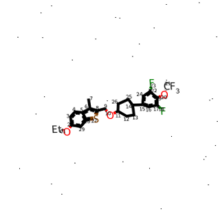 CCOc1ccc2c(C)c(COC3CCC(c4cc(F)c(OC(F)(F)F)c(F)c4)CC3)sc2c1